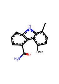 COc1ccc(C)c2[nH]c3cccc(C(N)=O)c3c12